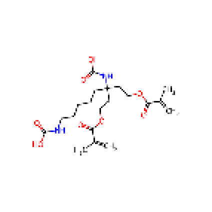 C=C(C)C(=O)OCCC(CCCCCNC(=O)O)(CCOC(=O)C(=C)C)NC(=O)O